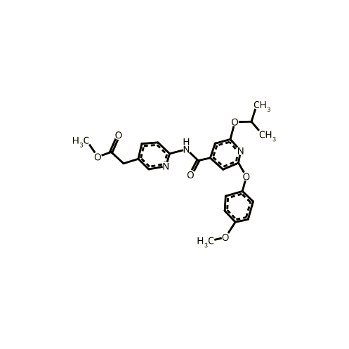 COC(=O)Cc1ccc(NC(=O)c2cc(Oc3ccc(OC)cc3)nc(OC(C)C)c2)nc1